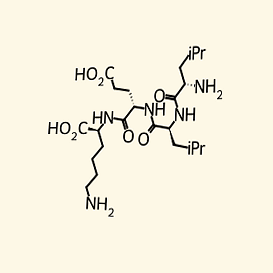 CC(C)C[C@H](NC(=O)[C@@H](N)CC(C)C)C(=O)N[C@@H](CCC(=O)O)C(=O)N[C@@H](CCCCN)C(=O)O